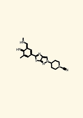 CN/C=C1/C=C(c2nc3cn(C4CCB(C#N)CC4)nc3s2)C=C(C)C1=N